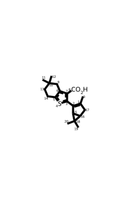 CC1=C(c2sc3c(c2C(=O)O)CC(C)(C)CC3)C2C(C1)C2(C)C